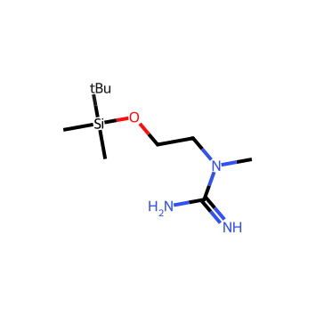 CN(CCO[Si](C)(C)C(C)(C)C)C(=N)N